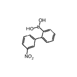 O=[N+]([O-])c1cccc(-c2ccccc2B(O)O)c1